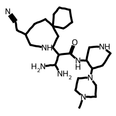 CN1CCN(C2CCNCC2NC(=O)C(C(N)N)C2CC3(CCCCC3)CCC(CC#N)CN2)CC1